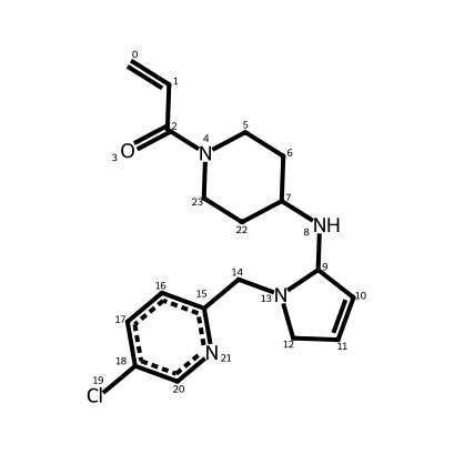 C=CC(=O)N1CCC(NC2C=CCN2Cc2ccc(Cl)cn2)CC1